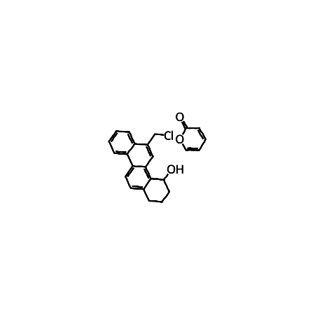 O=c1cccco1.OC1CCCc2ccc3c(cc(CCl)c4ccccc43)c21